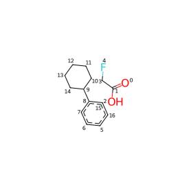 O=C(O)CF.c1ccc(C2CCCCC2)cc1